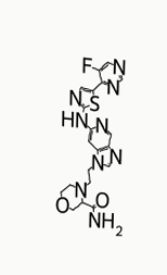 NC(=O)C1COCCN1CCn1cnc2cnc(Nc3ncc(-c4ncncc4F)s3)cc21